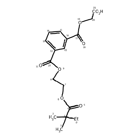 CCC(C)(C)C(=O)OCCOC(=O)c1cccc(C(=O)OCC(=O)O)c1